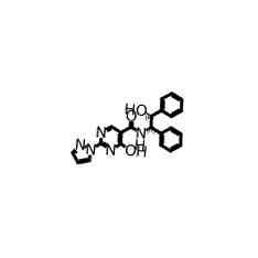 O=C(N[C@H](c1ccccc1)[C@H](O)c1ccccc1)c1cnc(-n2cccn2)nc1O